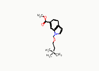 COC(=O)c1ccc2ccn(COCC[Si](C)(C)C)c2c1